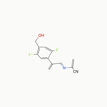 C=C(C#N)/N=C/C(=C)c1cc(F)c(CO)cc1F